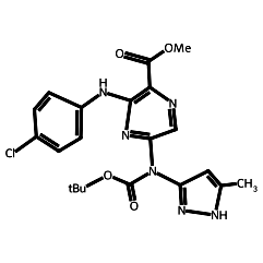 COC(=O)c1ncc(N(C(=O)OC(C)(C)C)c2cc(C)[nH]n2)nc1Nc1ccc(Cl)cc1